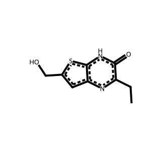 CCc1nc2cc(CO)sc2[nH]c1=O